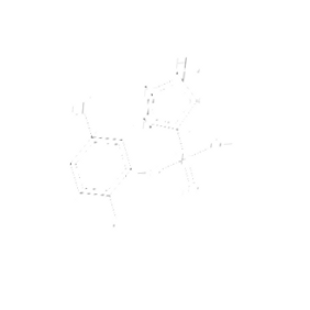 Clc1ccc(Cl)cc1.O=P(O)(O)c1c[nH]nn1